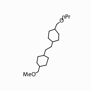 CCCOCC1CCC(CCC2CCC(COC)CC2)CC1